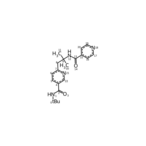 CC(C)(C)NC(=O)c1ccc(CC(C)(C)NC(=O)c2ccncc2)nc1